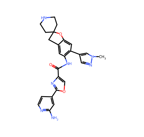 Cn1cc(-c2cc3c(cc2NC(=O)c2coc(-c4ccnc(N)c4)n2)CC2(CCNCC2)O3)cn1